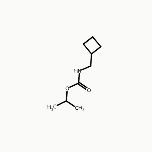 CC(C)OC(=O)NCC1CCC1